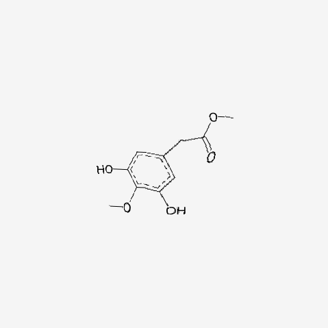 COC(=O)Cc1cc(O)c(OC)c(O)c1